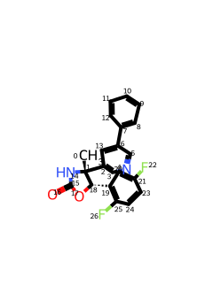 C[C@]1(c2cncc(-c3ccccc3)c2)NC(=O)O[C@H]1c1cc(F)ccc1F